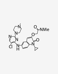 CNC(=O)COc1cc2cc(Nc3nc(N4CCN(C)CC4)ncc3Cl)ccc2n(C2CC2)c1=O